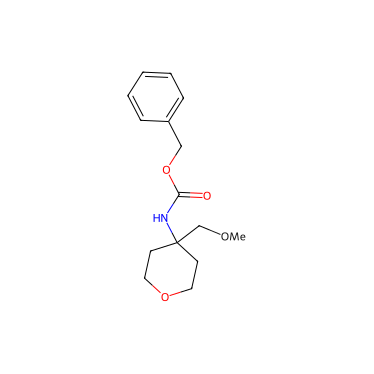 COCC1(NC(=O)OCc2ccccc2)CCOCC1